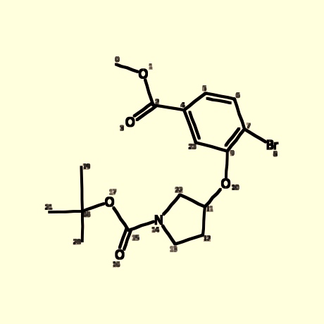 COC(=O)c1ccc(Br)c(OC2CCN(C(=O)OC(C)(C)C)C2)c1